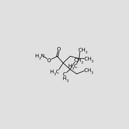 CCC(C)(C)C(C)(CC(C)(C)C)C(=O)ON